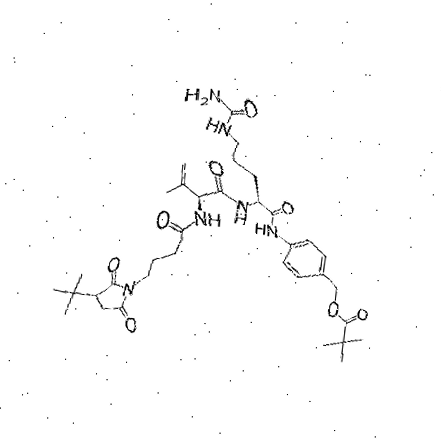 C=C(C)[C@H](NC(=O)CCCN1C(=O)CC(C(C)(C)C)C1=O)C(=O)N[C@@H](CCCNC(N)=O)C(=O)Nc1ccc(COC(=O)C(C)(C)C)cc1